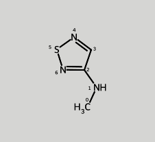 CNc1cnsn1